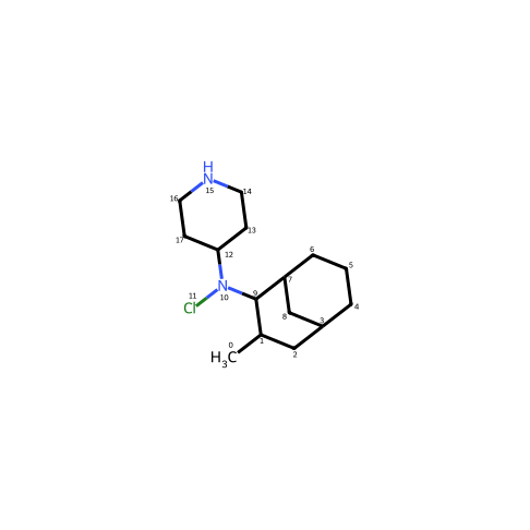 CC1CC2CCCC(C2)C1N(Cl)C1CCNCC1